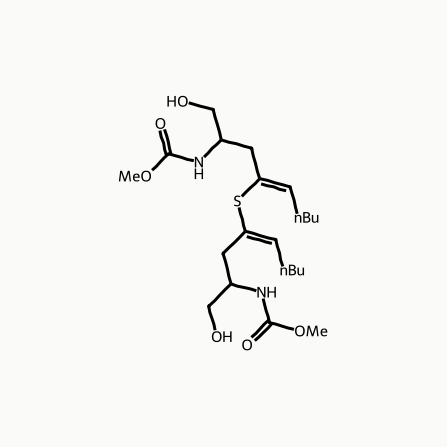 CCCCC=C(CC(CO)NC(=O)OC)SC(=CCCCC)CC(CO)NC(=O)OC